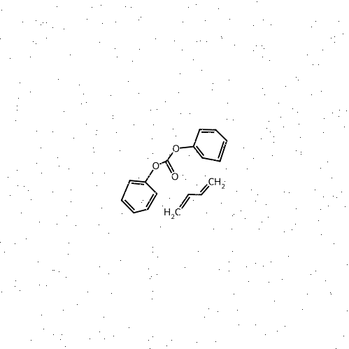 C=CC=C.O=C(Oc1ccccc1)Oc1ccccc1